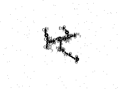 CCC(=O)OCc1ccc(NC(=O)C(CCCNC(N)=O)NC(=O)C(NC(=O)OCCN(CCOC(=O)N[C@H](C(=O)NC(CCCNC(N)=O)C(=O)Nc2ccc(COC(=O)CC)cc2)C(C)C)C(=O)OCCOCCNS(=O)(=O)NC(=O)OCCCNC(=O)CCCCCN2C(=O)C=CC2=O)C(C)C)cc1